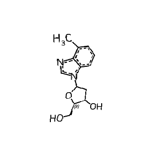 Cc1cccc2c1ncn2C1CC(O)[C@@H](CO)O1